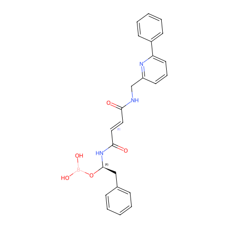 O=C(/C=C/C(=O)N[C@@H](Cc1ccccc1)OB(O)O)NCc1cccc(-c2ccccc2)n1